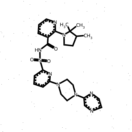 CC1CCN(c2ncccc2C(=O)NS(=O)(=O)c2cccc(N3CCN(c4cnccn4)CC3)n2)C1(C)C